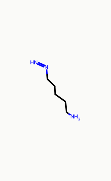 N=NCCCCCN